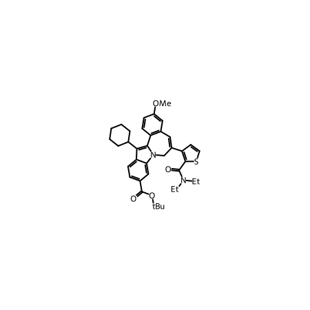 CCN(CC)C(=O)c1sccc1C1=Cc2cc(OC)ccc2-c2c(C3CCCCC3)c3ccc(C(=O)OC(C)(C)C)cc3n2C1